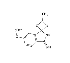 CCCCCCCCOc1ccc2c(c1)C1(NC2=N)OC(C)O1